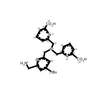 CC(C)(C)c1cc(CN)nc(CN(Cc2cccc(C(=O)O)n2)Cc2cccc(C(=O)O)n2)c1